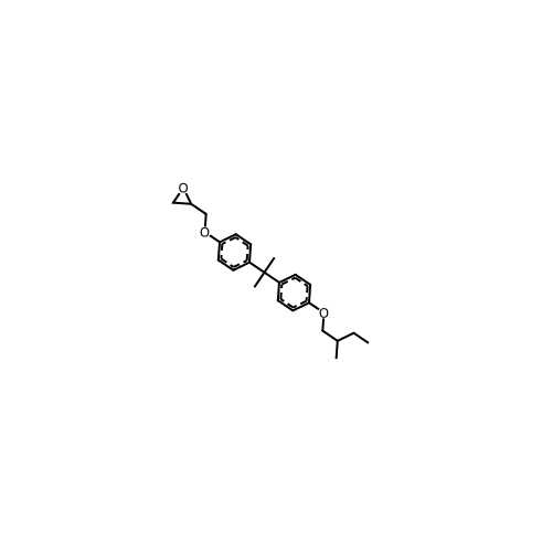 CCC(C)COc1ccc(C(C)(C)c2ccc(OCC3CO3)cc2)cc1